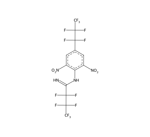 N=C(Nc1c([N+](=O)[O-])cc(C(F)(F)C(F)(F)C(F)(F)F)cc1[N+](=O)[O-])C(F)(F)C(F)(F)C(F)(F)F